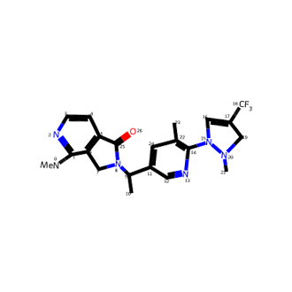 CNc1nccc2c1CN(C(C)c1cnc(N3C=C(C(F)(F)F)CN3C)c(C)c1)C2=O